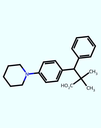 CC(C)(C(=O)O)C(c1ccccc1)c1ccc(N2CCCCC2)cc1